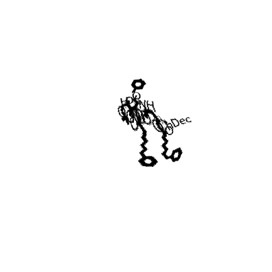 CCCCCCCCCCC[C@@H](CC(=O)N[C@H]1[C@H](OCc2ccccc2)O[C@@H]2COC(C)(C)O[C@H]2[C@@H]1OC(=O)CCCCCCc1ccccc1)OC(=O)CCCCCCc1ccccc1